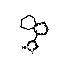 c1cc2c(c(-c3cn[nH]c3)c1)CCCCC2